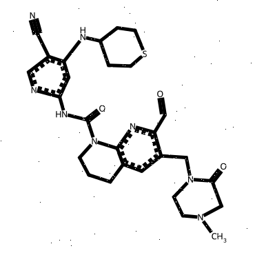 CN1CCN(Cc2cc3c(nc2C=O)N(C(=O)Nc2cc(NC4CCSCC4)c(C#N)cn2)CCC3)C(=O)C1